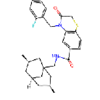 C[C@@H]1C[C@@H]2C[C@H](C)CC(CNC(=O)c3ccc4c(c3)N(Cc3ccccc3F)C(=O)CS4)(C1)C2